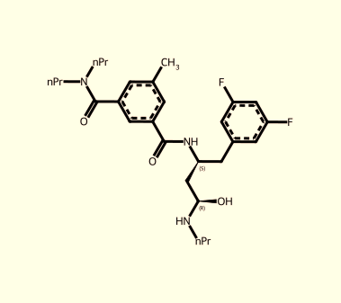 CCCN[C@H](O)C[C@H](Cc1cc(F)cc(F)c1)NC(=O)c1cc(C)cc(C(=O)N(CCC)CCC)c1